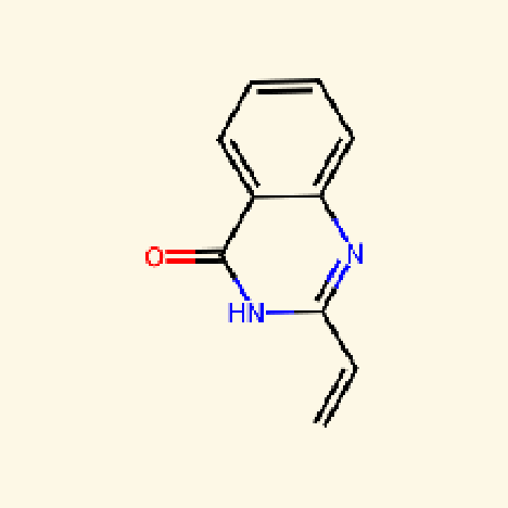 C=Cc1nc2ccccc2c(=O)[nH]1